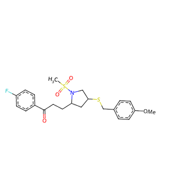 COc1ccc(CSC2CC(CCC(=O)c3ccc(F)cc3)N(S(C)(=O)=O)C2)cc1